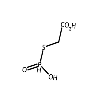 O=C(O)CS[PH](=O)O